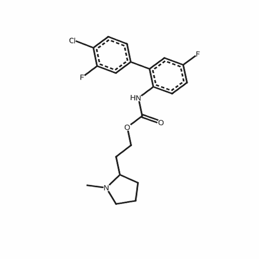 CN1CCCC1CCOC(=O)Nc1ccc(F)cc1-c1ccc(Cl)c(F)c1